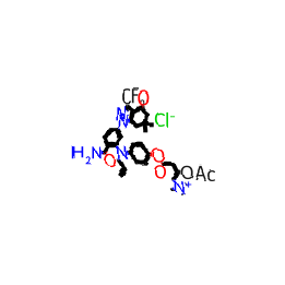 C=CCN(c1cc(-n2nc(C(F)(F)F)c3c2CC(C)(C)CC3=O)ccc1C(N)=O)C1CCC(OC(=O)CC(C[N+](C)(C)C)OC(C)=O)CC1.[Cl-]